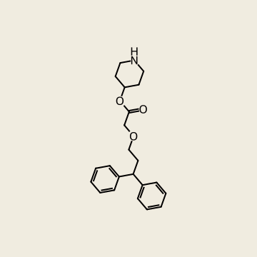 O=C(COCCC(c1ccccc1)c1ccccc1)OC1CCNCC1